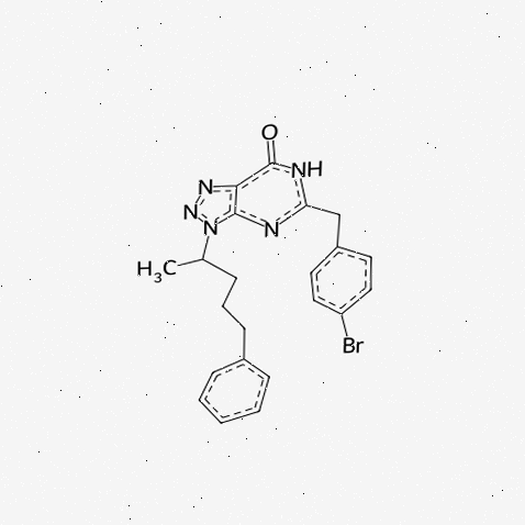 CC(CCCc1ccccc1)n1nnc2c(=O)[nH]c(Cc3ccc(Br)cc3)nc21